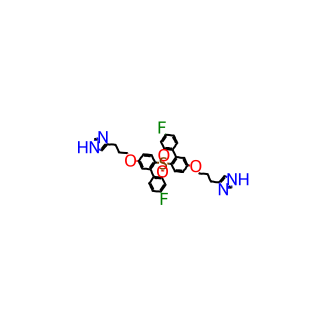 O=S(=O)(c1ccc(OCCCc2c[nH]cn2)cc1-c1ccc(F)cc1)c1ccc(OCCCc2c[nH]cn2)cc1-c1ccc(F)cc1